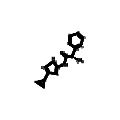 N[C@H](C(=O)Nc1cc(C2CC2)n[nH]1)c1ccccc1